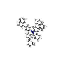 c1ccc(-c2ccc3c(c2)B2c4ccccc4-c4cc(-c5cccc6ccccc56)cc5c6cc(-c7cccc8ccccc78)cc-3c6n2c45)cc1